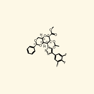 COC(=O)[C@@H]1O[C@@H]2CO[C@H](c3ccccc3)O[C@@H]2[C@H](n2cc(-c3cc(F)c(F)c(F)c3)nn2)[C@H]1OC(C)=O